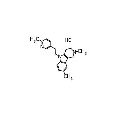 Cc1ccc2c(c1)c1c(n2CCc2ccc(C)nc2)CCN(C)C1.Cl